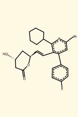 CC(C)c1cc(-c2ccc(F)cc2)c(/C=C/[C@@H]2C[C@@H](O)CC(=O)O2)c(C2CCCCC2)n1